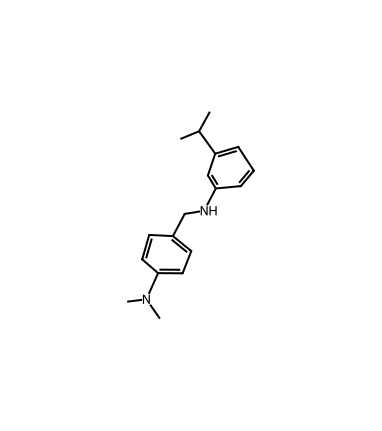 CC(C)c1cccc(NCc2ccc(N(C)C)cc2)c1